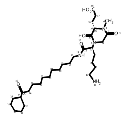 CN1C(=O)CN([C@@H](CCCCN)C(=O)NCCCCCCCCCCC(=O)C2CCCCC2)C(=O)[C@@H]1CCC(=O)O